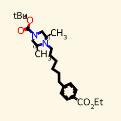 CCOC(=O)c1ccc(CCCCCCN2[C@H](C)CN(C(=O)OC(C)(C)C)C[C@@H]2C)cc1